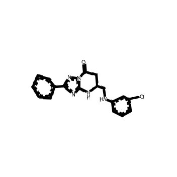 O=C1CC(CNc2cccc(Cl)c2)Nc2nc(-c3ccccc3)nn21